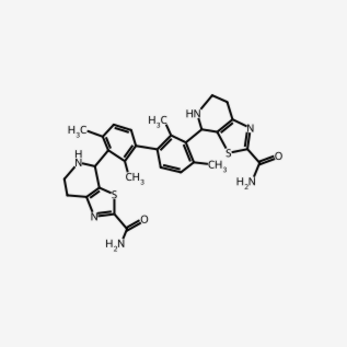 Cc1ccc(-c2ccc(C)c(C3NCCc4nc(C(N)=O)sc43)c2C)c(C)c1C1NCCc2nc(C(N)=O)sc21